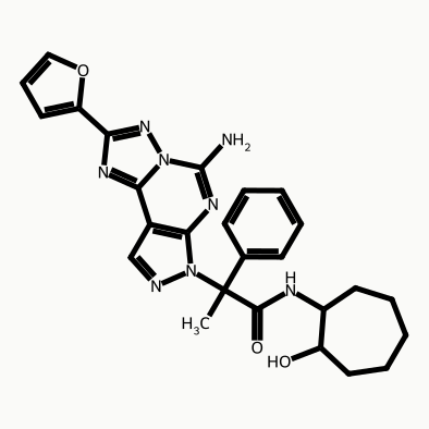 CC(C(=O)NC1CCCCCC1O)(c1ccccc1)n1ncc2c1nc(N)n1nc(-c3ccco3)nc21